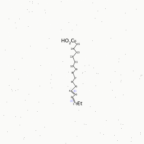 CC/C=C\C=C\CCCCCCCCCCCC(=O)O